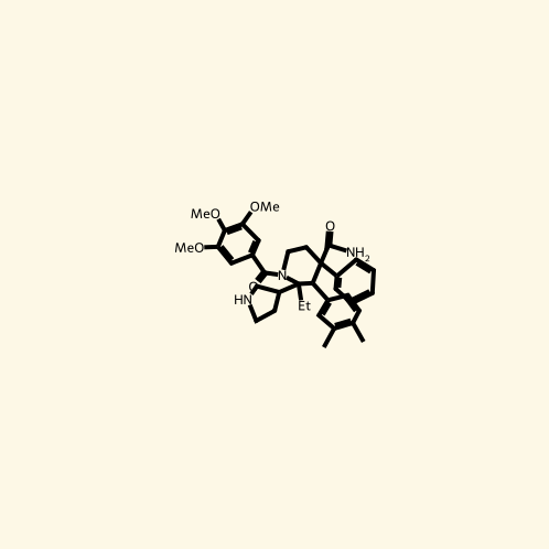 CCC1(C2CCNC2)C(c2ccc(C)c(C)c2)C(C(N)=O)(c2ccccc2)CCN1C(=O)c1cc(OC)c(OC)c(OC)c1